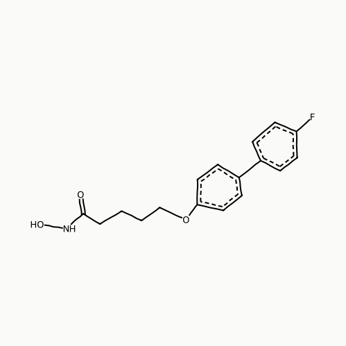 O=C(CCCCOc1ccc(-c2ccc(F)cc2)cc1)NO